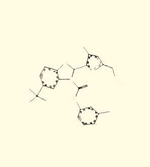 CCc1cc(Cl)c(C2Sc3ccc(C(F)(F)F)cc3N2C(=S)Nc2cccc(I)c2)s1